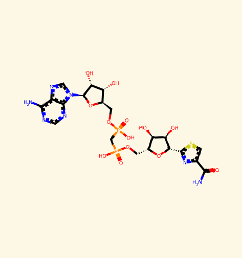 NC(=O)c1csc([C@@H]2O[C@H](COP(=O)(O)CP(=O)(O)OC[C@H]3O[C@@H](n4cnc5c(N)ncnc54)[C@H](O)[C@@H]3O)[C@@H](O)[C@H]2O)n1